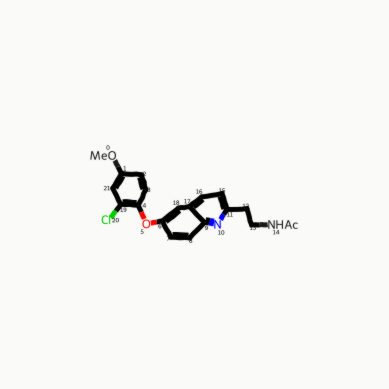 COc1ccc(Oc2ccc3nc(CCNC(C)=O)ccc3c2)c(Cl)c1